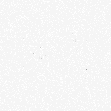 c1ccc(-c2nc(-c3ccccc3)nc(-c3ccc(-c4cc(-c5ccc6sc7ccccc7c6c5)cc(-c5ccc6ccc7cccnc7c6n5)c4)cc3)n2)cc1